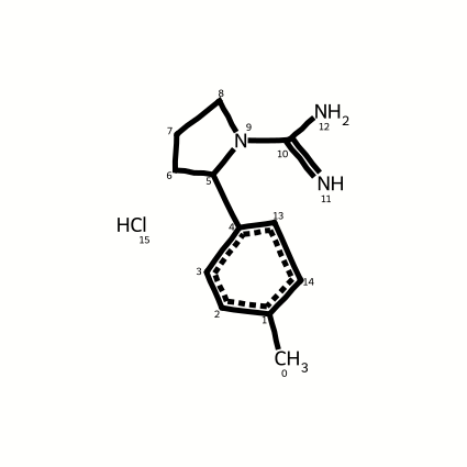 Cc1ccc(C2CCCN2C(=N)N)cc1.Cl